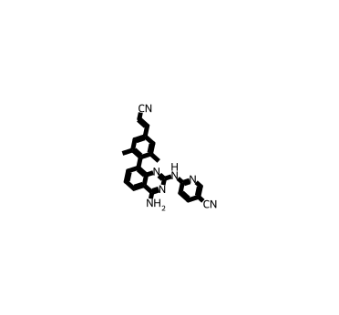 Cc1cc(/C=C/C#N)cc(C)c1-c1cccc2c(N)nc(Nc3ccc(C#N)cn3)nc12